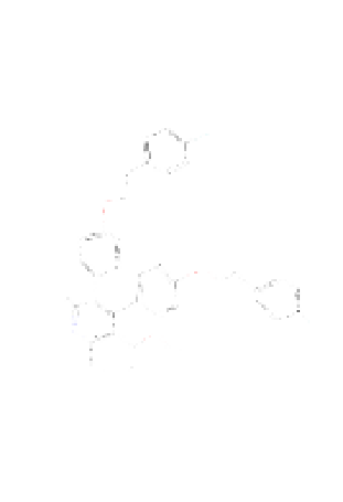 CCOC(=O)[C@@H](OC(C)(C)C)c1c(C)nc(C)c(-c2ccc(OCCc3ccc(F)cc3)cc2)c1-c1ccc(OCCc2ccc(F)cc2)cc1